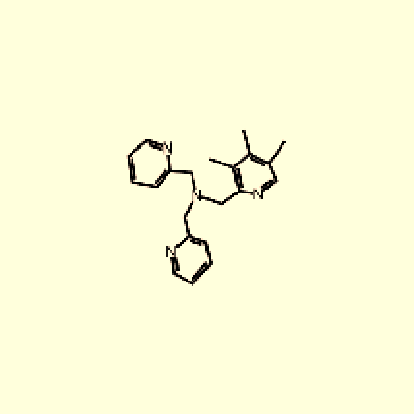 Cc1cnc(CN(Cc2ccccn2)Cc2ccccn2)c(C)c1C